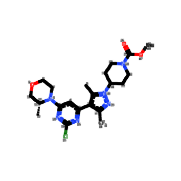 Cc1c(-c2cc(N3CCOC[C@H]3C)nc(Cl)n2)c(C(F)(F)F)nn1C1CCN(C(=O)OC(C)(C)C)CC1